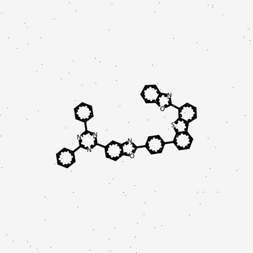 c1ccc(-c2nc(-c3ccccc3)nc(-c3ccc4oc(-c5ccc(-c6cccc7c6sc6c(-c8nc9ccccc9o8)cccc67)cc5)nc4c3)n2)cc1